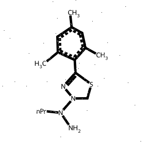 CCCN(N)N1CSC(c2c(C)cc(C)cc2C)=N1